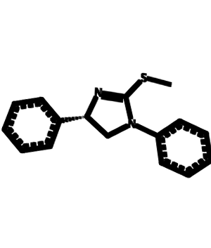 CSC1=N[C@@H](c2ccccc2)CN1c1ccccc1